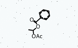 CC(=O)OC(C)OC(=O)c1ccccc1